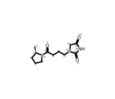 C[C@@H]1CCCN1C(=O)CCCN1CC(=O)NC1=O